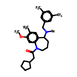 CC(=O)N(Cc1cc(C(F)(F)F)cc(C(F)(F)F)c1)C1CCCN(C(=O)CC2CCCC2)c2cc(OC(F)(F)F)c(C)cc21